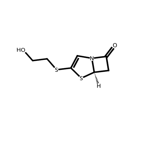 O=C1C[C@H]2SC(SCCO)=CN12